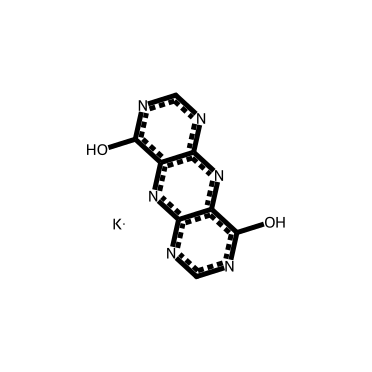 Oc1ncnc2nc3c(O)ncnc3nc12.[K]